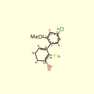 COc1cc(Cl)ccc1C1=CCCC(Br)=C1F